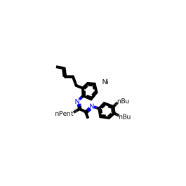 CC=CCCc1ccccc1N=C(CCCCC)C(C)=Nc1ccc(CCCC)c(CCCC)c1.[Ni]